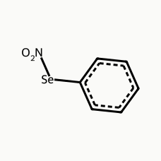 O=[N+]([O-])[Se]c1ccccc1